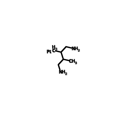 CC(CN)C(C)CN.[Pt]